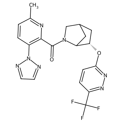 Cc1ccc(-n2nccn2)c(C(=O)N2CC3CC2[C@@H](Oc2ccc(C(F)(F)F)nn2)C3)n1